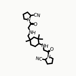 CC1(CNCC(=O)N2CCCC2C#N)CCC(NCC(=O)N2CCCC2C#N)C(C)(C)C1